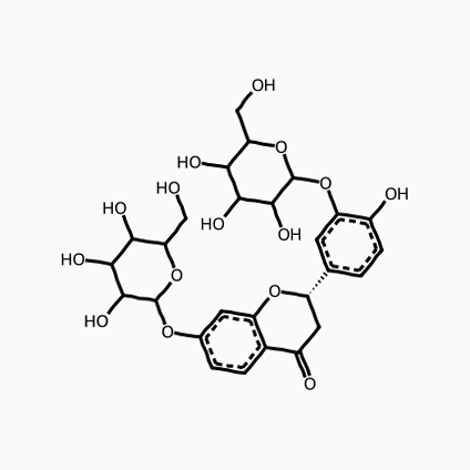 O=C1C[C@@H](c2ccc(O)c(OC3OC(CO)C(O)C(O)C3O)c2)Oc2cc(OC3OC(CO)C(O)C(O)C3O)ccc21